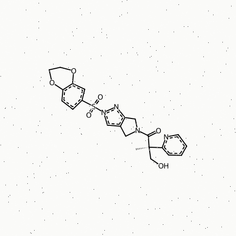 C[C@](CO)(C(=O)N1Cc2cn(S(=O)(=O)c3ccc4c(c3)OCCO4)nc2C1)c1ccccn1